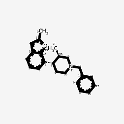 Cc1cc2cccc([C@H]3CCN(Cc4ccccc4)C[C@@H]3C)c2o1